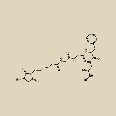 CCNC(=O)CNC(=O)C(Cc1ccccc1)NC(=O)CNC(=O)CNC(=O)CCCCCN1C(=O)CC(C(C)C)C1=O